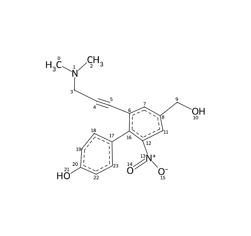 CN(C)CC#Cc1cc(CO)cc([N+](=O)[O-])c1-c1ccc(O)cc1